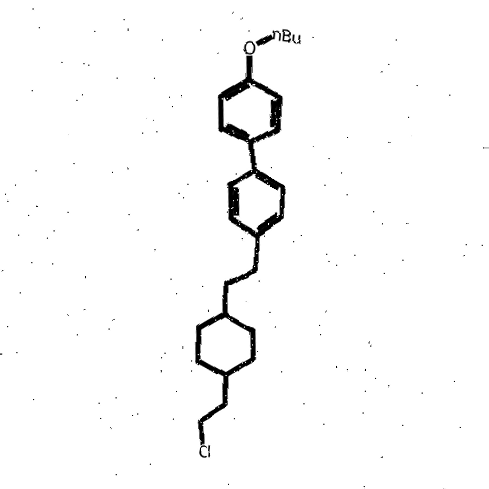 CCCCOc1ccc(-c2ccc(CCC3CCC(CCCl)CC3)cc2)cc1